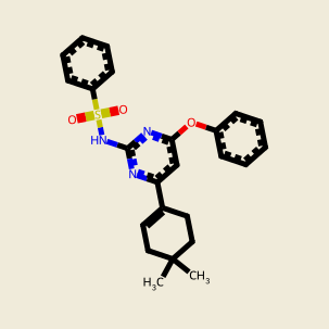 CC1(C)CC=C(c2cc(Oc3ccccc3)nc(NS(=O)(=O)c3ccccc3)n2)CC1